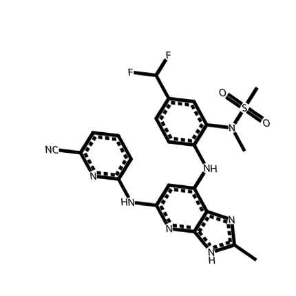 Cc1nc2c(Nc3ccc(C(F)F)cc3N(C)S(C)(=O)=O)cc(Nc3cccc(C#N)n3)nc2[nH]1